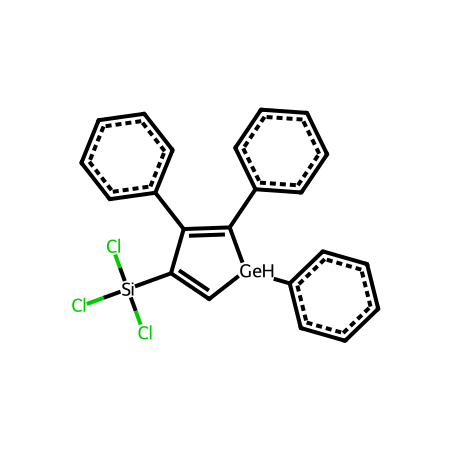 Cl[Si](Cl)(Cl)C1=[CH][GeH]([c]2ccccc2)[C](c2ccccc2)=C1c1ccccc1